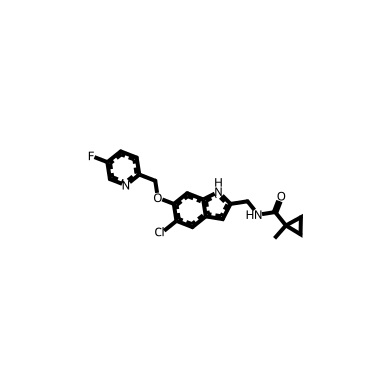 CC1(C(=O)NCc2cc3cc(Cl)c(OCc4ccc(F)cn4)cc3[nH]2)CC1